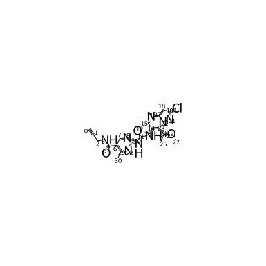 C#CCNC(=O)c1cnc(NC(=O)Nc2cnc3cc(Cl)nn3c2[C@H](C)OC)nc1C